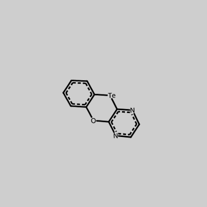 c1ccc2c(c1)Oc1nccnc1[Te]2